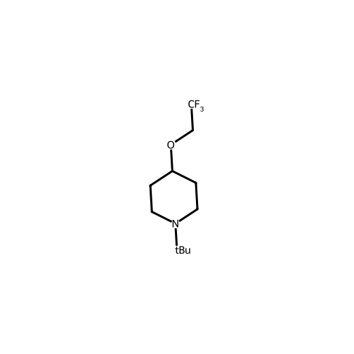 CC(C)(C)N1CCC(OCC(F)(F)F)CC1